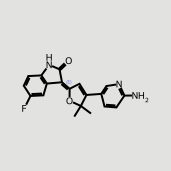 CC1(C)O/C(=C2/C(=O)Nc3ccc(F)cc32)C=C1c1ccc(N)nc1